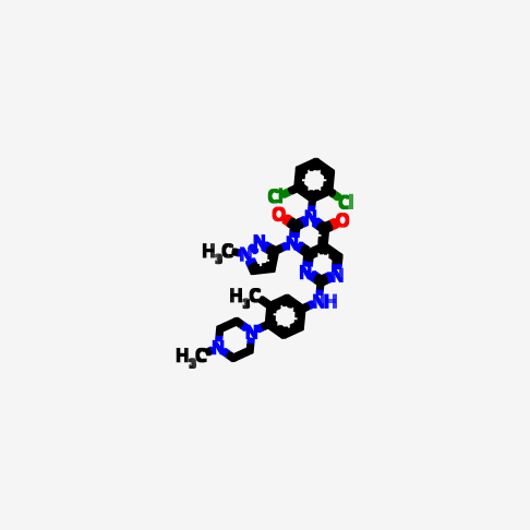 Cc1cc(Nc2ncc3c(=O)n(-c4c(Cl)cccc4Cl)c(=O)n(-c4ccn(C)n4)c3n2)ccc1N1CCN(C)CC1